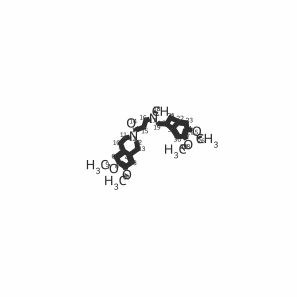 COc1cc2c(cc1OC)CCN(C(=O)CCN(C)CC1Cc3cc(OC)c(OC)cc31)CC2